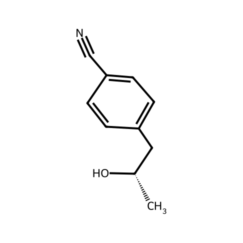 C[C@H](O)Cc1ccc(C#N)cc1